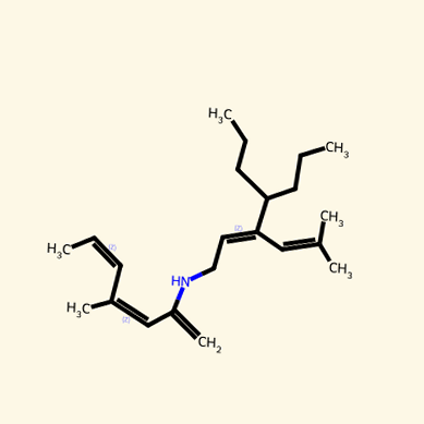 C=C(/C=C(C)\C=C/C)NC/C=C(\C=C(C)C)C(CCC)CCC